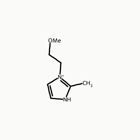 COCC[n+]1cc[nH]c1C